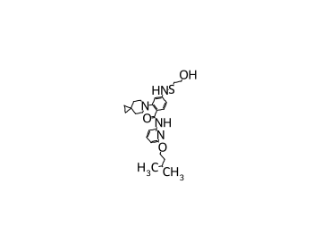 CC(C)CCOc1cccc(NC(=O)c2ccc(NSCCO)cc2N2CCC3(CC2)CC3)n1